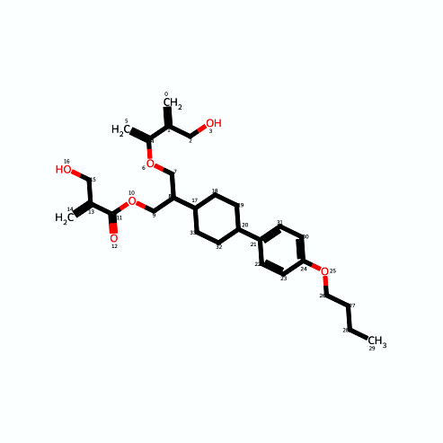 C=C(CO)C(=C)OCC(COC(=O)C(=C)CO)C1CCC(c2ccc(OCCCC)cc2)CC1